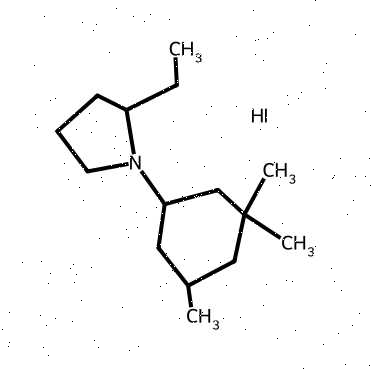 CCC1CCCN1C1CC(C)CC(C)(C)C1.I